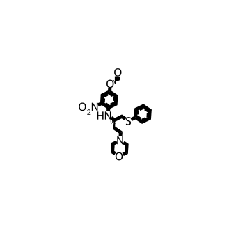 O=POc1ccc(N[C@H](CCN2CCOCC2)CSc2ccccc2)c([N+](=O)[O-])c1